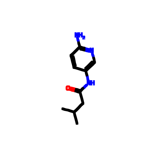 CC(C)CC(=O)Nc1ccc(N)nc1